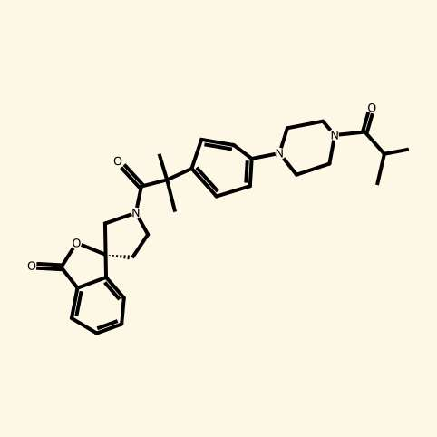 CC(C)C(=O)N1CCN(c2ccc(C(C)(C)C(=O)N3CC[C@@]4(C3)OC(=O)c3ccccc34)cc2)CC1